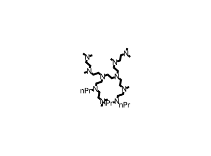 CCCN(CCC)CCN(C)CCN(CCN(C)CCN(C)C)CCN(CCN(C)CCN(C)C)CCN(CCC)CCN(C)C